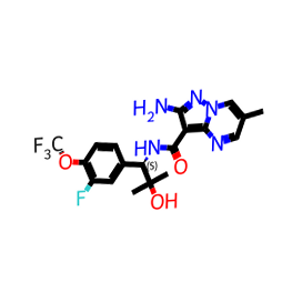 Cc1cnc2c(C(=O)N[C@@H](c3ccc(OC(F)(F)F)c(F)c3)C(C)(C)O)c(N)nn2c1